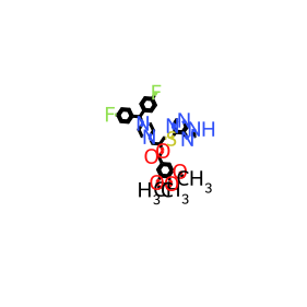 COc1cc(C(=O)OC(CSc2ncnc3[nH]cnc23)CN2CCN(C(c3ccc(F)cc3)c3ccc(F)cc3)CC2)cc(OC)c1OC